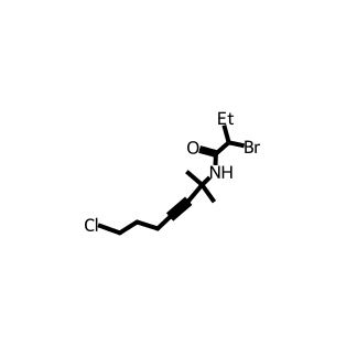 CCC(Br)C(=O)NC(C)(C)C#CCCCCl